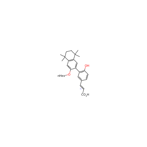 CCCCCCOc1cc2c(cc1-c1cc(/C=C/C(=O)O)ccc1O)C(C)(C)CCC2(C)C